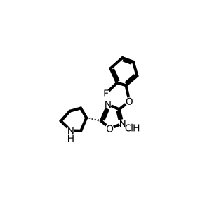 Cl.Fc1ccccc1Oc1noc([C@H]2CCCNC2)n1